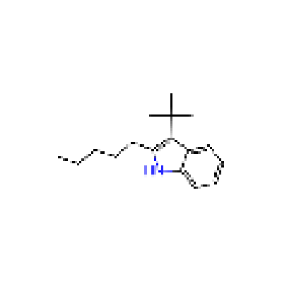 CCCCCc1[nH]c2ccccc2c1C(C)(C)C